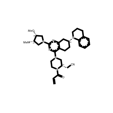 C=CC(=O)N1CCN(c2nc(N3C[C@H](NC)[C@H](OC)C3)nc3c2CC[C@@H](N2CCCc4ccccc42)C3)C[C@@H]1CC#N